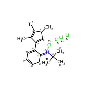 CC1=[C]([Ti])C(C)C=C1C1=CC=CCC1=[N+](Cl)C(C)(C)C.[Cl-].[Cl-].[Cl-]